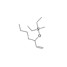 C=CC(CCCC)O[Si](C)(CC)CC